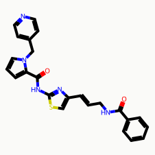 O=C(NC/C=C/c1csc(NC(=O)c2cccn2Cc2ccncc2)n1)c1ccccc1